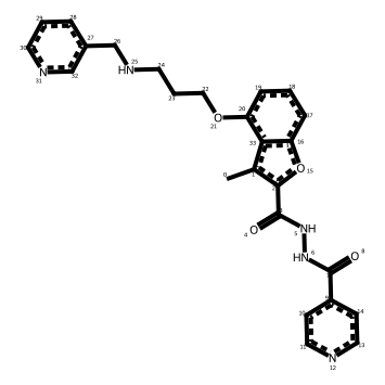 Cc1c(C(=O)NNC(=O)c2ccncc2)oc2cccc(OCCCNCc3cccnc3)c12